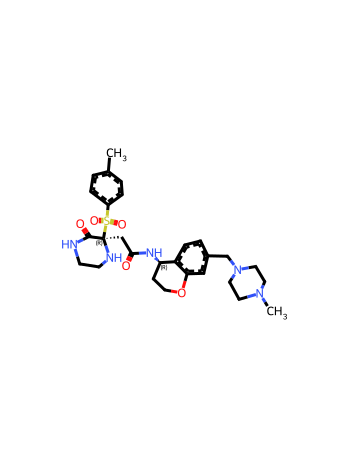 Cc1ccc(S(=O)(=O)[C@@]2(CC(=O)N[C@@H]3CCOc4cc(CN5CCN(C)CC5)ccc43)NCCNC2=O)cc1